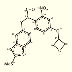 CSc1nc2ccc(CN(C=O)c3ccc(OC4COC4)cc3[N+](=O)[O-])cc2s1